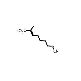 C/C(=C\CCCCSC#N)C(=O)O